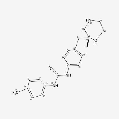 C[C@@]1(Cc2ccc(NC(=O)Nc3ccc(C(F)(F)F)cc3)cc2)CNCCO1